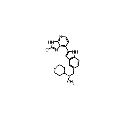 Cc1nc2c(-c3cc4cc(CN(C)C5CCOCC5)ccc4[nH]3)ccnc2[nH]1